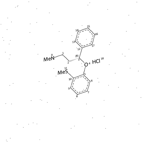 CNCC[C@@H](Oc1ccccc1SC)c1ccccc1.Cl